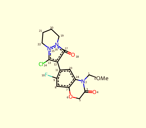 COCN1C(=O)COc2cc(F)c(-c3c(Cl)n4n(c3=O)CCCC4)cc21